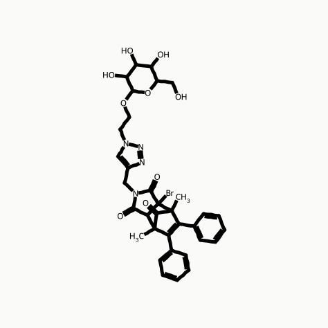 CC12C(=O)C(C)(C(c3ccccc3)=C1c1ccccc1)C1(Br)C(=O)N(Cc3cn(CCOC4OC(CO)C(O)C(O)C4O)nn3)C(=O)C21